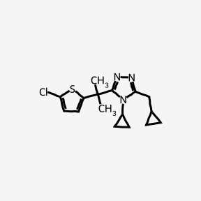 CC(C)(c1ccc(Cl)s1)c1nnc(CC2CC2)n1C1CC1